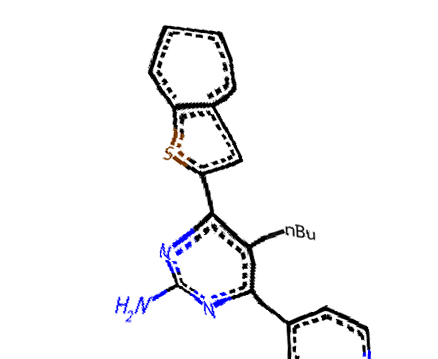 CCCCc1c(-c2ccncc2)nc(N)nc1-c1cc2ccccc2s1